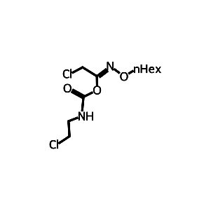 CCCCCCON=C(CCl)OC(=O)NCCCl